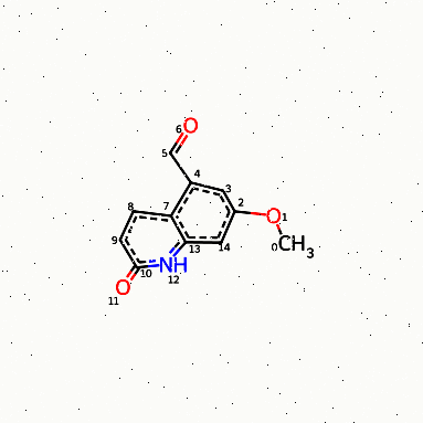 COc1cc(C=O)c2ccc(=O)[nH]c2c1